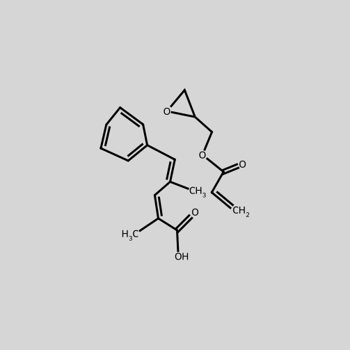 C=CC(=O)OCC1CO1.CC(=Cc1ccccc1)C=C(C)C(=O)O